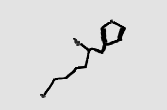 BrCCCCC(Br)Cc1ccsc1